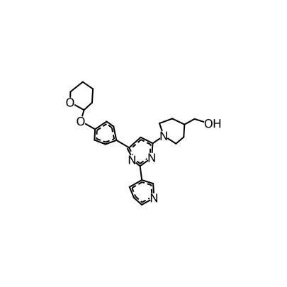 OCC1CCN(c2cc(-c3ccc(OC4CCCCO4)cc3)nc(-c3cccnc3)n2)CC1